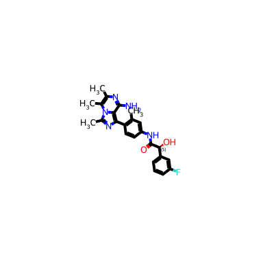 Cc1cc(NC(=O)[C@@H](O)c2cccc(F)c2)ccc1-c1nc(C)n2c(C)c(C)nc(N)c12